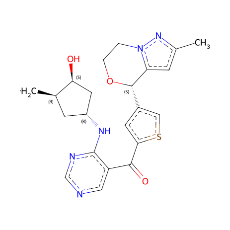 [CH2][C@@H]1C[C@@H](Nc2ncncc2C(=O)c2cc([C@@H]3OCCn4nc(C)cc43)cs2)C[C@@H]1O